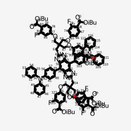 CC(C)COC(=O)c1ccc(OCC(COc2ccc(C(=O)OCC(C)C)c(F)c2)(COc2ccc(C(=O)OCC(C)C)c(F)c2)Cn2nc3c(-c4ccc(N(c5ccccc5)c5ccccc5)cc4)c4n[n+](CC(COc5ccc(C(=O)OCC(C)C)c(F)c5)(COc5ccc(C(=O)OCC(C)C)c(F)c5)COc5ccc(C(=O)OCC(C)C)c(F)c5)[n-]c4c(-c4ccc(N(c5ccccc5)c5ccccc5)cc4)c3n2)cc1F